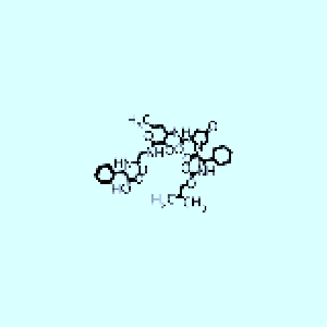 CCCC(NC(=O)[C@@H]1CC(=O)CN1C(=O)[C@@H](NC(=O)OCC(C)C)C1CCCCC1)C(=O)C(=O)NCC(=O)N[C@H](C(=O)O)c1ccccc1